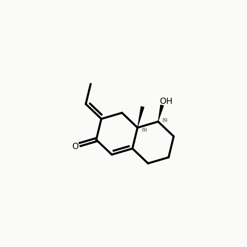 CC=C1C[C@@]2(C)C(=CC1=O)CCC[C@@H]2O